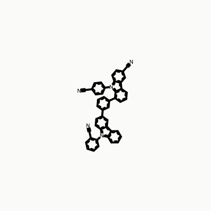 N#Cc1ccc(-n2c3ccc(C#N)cc3c3cccc(-c4cccc(-c5ccc6c(c5)c5ccccc5n6-c5ccccc5C#N)c4)c32)cc1